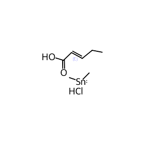 CC/C=C/C(=O)O.Cl.[CH3][Sn][CH3]